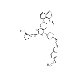 COc1ccc(CN=C=NC2CCN(c3nc(OC[C@@H]4CCCN4C)nc4c3CCN(c3cccc5cccc(C)c35)C4)CC2)cc1